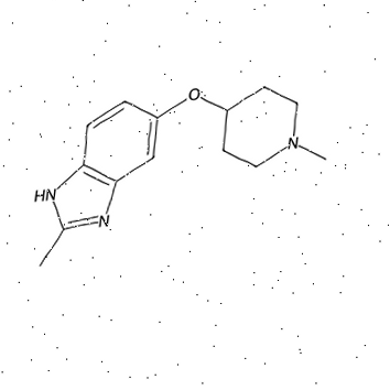 Cc1nc2cc(OC3CCN(C)CC3)ccc2[nH]1